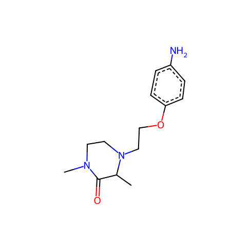 CC1C(=O)N(C)CCN1CCOc1ccc(N)cc1